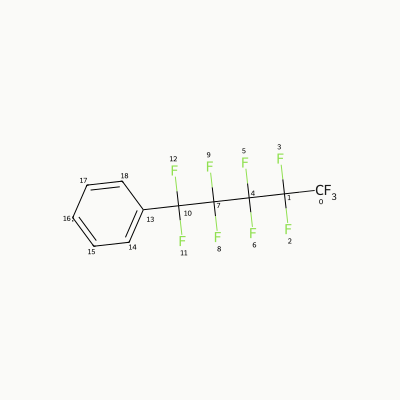 FC(F)(F)C(F)(F)C(F)(F)C(F)(F)C(F)(F)c1cc[c]cc1